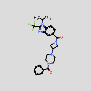 CC(C)n1c(C(F)(F)F)nc2cc(C(=O)N3CC(N4CCN(C(=O)c5ccccc5)CC4)C3)ccc21